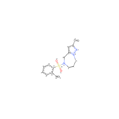 O=Cc1cc2n(n1)CCCN(S(=O)(=O)c1ccccc1[N+](=O)[O-])C2